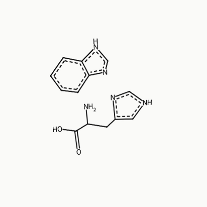 NC(Cc1c[nH]cn1)C(=O)O.c1ccc2[nH]cnc2c1